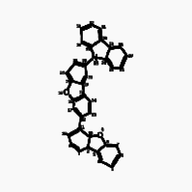 C1=CC2c3ccccc3OC2C(c2ccc3c(c2)oc2ccc(-n4c5ccccc5c5ccccc54)cc23)=C1